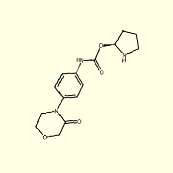 O=C(Nc1ccc(N2CCOCC2=O)cc1)O[C@H]1CCCN1